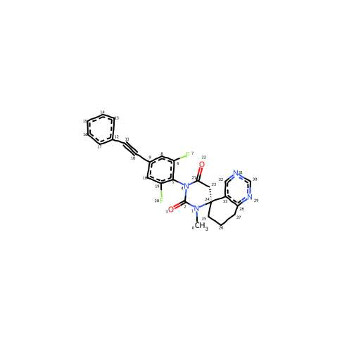 CN1C(=O)N(c2c(F)cc(C#Cc3ccccc3)cc2F)C(=O)C[C@]12CCCc1ncncc12